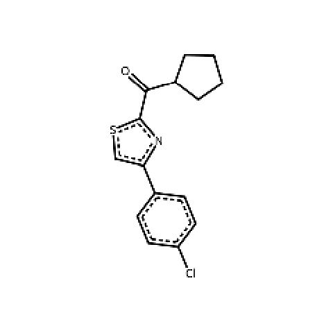 O=C(c1nc(-c2ccc(Cl)cc2)cs1)C1CCCC1